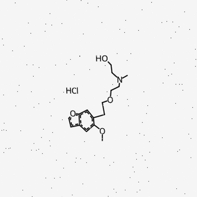 COc1cc2ccoc2cc1CCOCCN(C)CCO.Cl